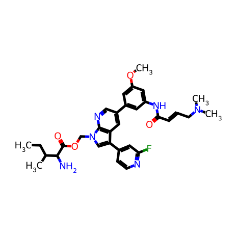 CCC(C)C(N)C(=O)OCn1cc(-c2ccnc(F)c2)c2cc(-c3cc(NC(=O)/C=C/CN(C)C)cc(OC)c3)cnc21